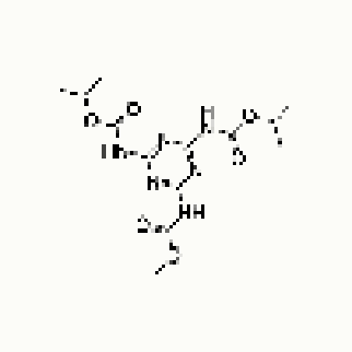 COC(=O)Nc1nc(NC(=O)OC(C)C)nc(NC(=O)OC(C)C)n1